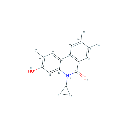 Cc1cc2c(=O)n(C3CC3)c3cc(O)c(C)cc3c2cc1C